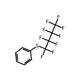 FC(F)(F)C(F)(F)C(F)(F)C(F)(F)Sc1[c]cccc1